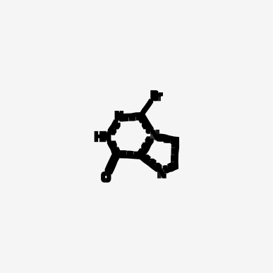 O=c1[nH]nc(Br)n2ccnc12